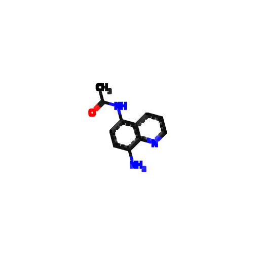 CC(=O)Nc1ccc(N)c2ncccc12